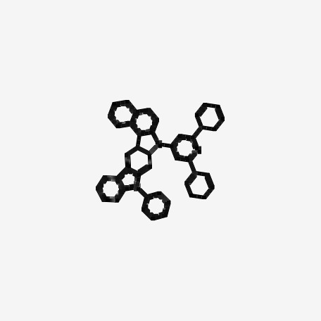 C1=CCC(c2cc(N3c4ccc5ccccc5c4C4C=c5c(n(-c6ccccc6)c6ccccc56)=CC43)cc(C3=CCCC=C3)n2)C=C1